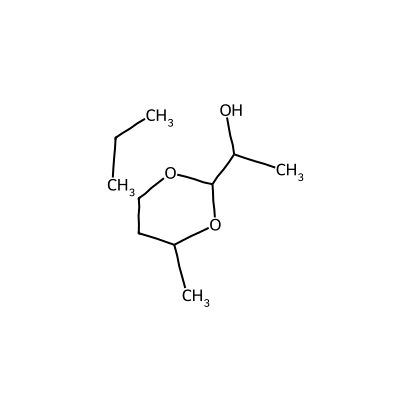 CC1CCOC(C(C)O)O1.CCC